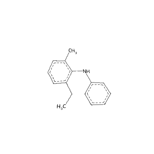 CCc1cccc(C)c1Nc1ccccc1